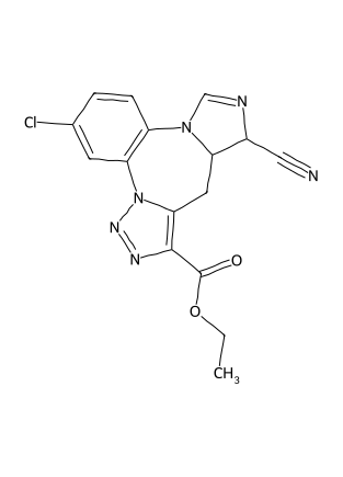 CCOC(=O)c1nnn2c1CC1C(C#N)N=CN1c1ccc(Cl)cc1-2